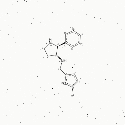 Cc1ccc(CN[C@H]2CCN[C@H]2c2ccccc2)o1